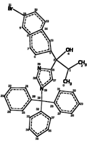 CC(C)C(O)(c1ccc2cc(Br)ccc2c1)c1cn(C(c2ccccc2)(c2ccccc2)c2ccccc2)cn1